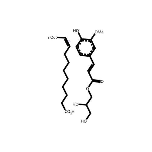 CCCCCCCC/C=C\CCCCCCCC(=O)O.COc1cc(C=CC(=O)OCC(O)CO)ccc1O